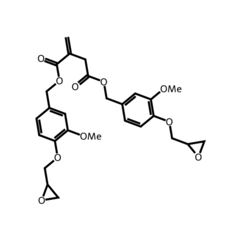 C=C(CC(=O)OCc1ccc(OCC2CO2)c(OC)c1)C(=O)OCc1ccc(OCC2CO2)c(OC)c1